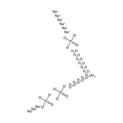 O.O.O.O.O.O.O.O.O.O.O.O.O=P([O-])([O-])[O-].O=P([O-])([O-])[O-].O=P([O-])([O-])[O-].[Na+].[Na+].[Na+].[Na+].[Na+].[Na+].[Na+].[Na+].[Na+]